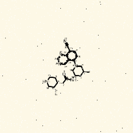 C[C@H]1C[C@@H](NC(=O)C[C@H]2CCNC[C@H]2F)CN(c2ccc(C#N)c3ncncc23)C1